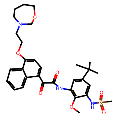 COc1c(NC(=O)C(=O)c2ccc(OCCN3CCCCOC3)c3ccccc23)cc(C(C)(C)C)cc1NS(C)(=O)=O